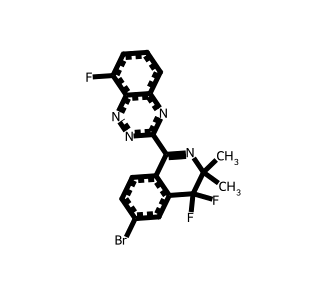 CC1(C)N=C(c2nnc3c(F)cccc3n2)c2ccc(Br)cc2C1(F)F